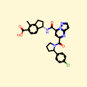 Cc1c(C(=O)O)ccc2c1CC[C@@H]2NC(=O)c1cc(C(=O)N2CCCC2c2ccc(Cl)cc2)nc2ccnn12